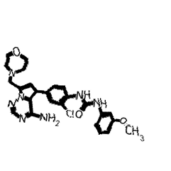 COc1cccc(NC(=O)Nc2ccc(C3C=C(CN4CCOCC4)N4N=CN=C(N)C34)cc2Cl)c1